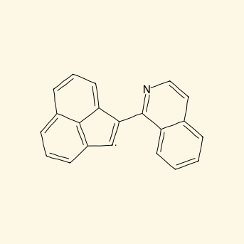 [C]1=C(c2nccc3ccccc23)c2cccc3cccc1c23